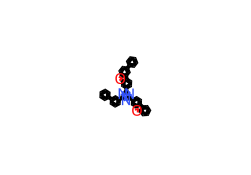 c1ccc(-c2cccc(-c3nc(-c4ccc5c(c4)oc4ccccc45)nc(-c4ccc5c(c4)oc4ccc(-c6ccccc6)cc45)n3)c2)cc1